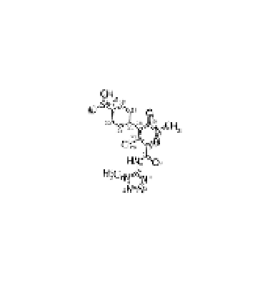 Cn1nnnc1NC(=O)c1nn(C)c(=O)c(-c2ccc([S+](C)[O-])cc2)c1Cl